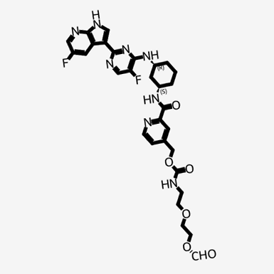 O=COCCOCCNC(=O)OCc1ccnc(C(=O)N[C@H]2CCC[C@@H](Nc3nc(-c4c[nH]c5ncc(F)cc45)ncc3F)C2)c1